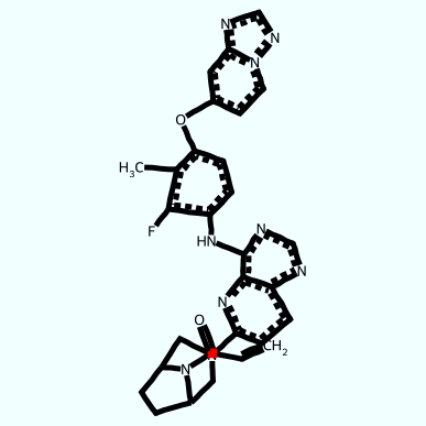 C=CC(=O)N1C2CCC1CN(c1ccc3ncnc(Nc4ccc(Oc5ccn6ncnc6c5)c(C)c4F)c3n1)C2